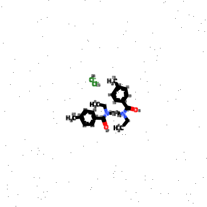 CC[N]([Ti+2][N](CC)C(=O)c1ccc(C)cc1)C(=O)c1ccc(C)cc1.[Cl-].[Cl-]